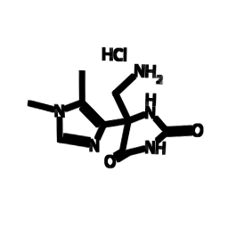 Cc1c(C2(CN)NC(=O)NC2=O)ncn1C.Cl